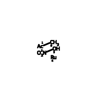 CC(C)=O.O=[N+]([O-])O.[Ru]